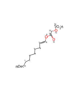 CCCCCCCCCCCCCCCCC=COC(=O)COS(=O)(=O)O